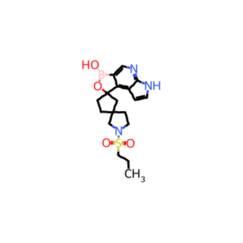 CCCS(=O)(=O)N1CCC2(CCC3(C2)OB(O)c2cnc4[nH]ccc4c23)C1